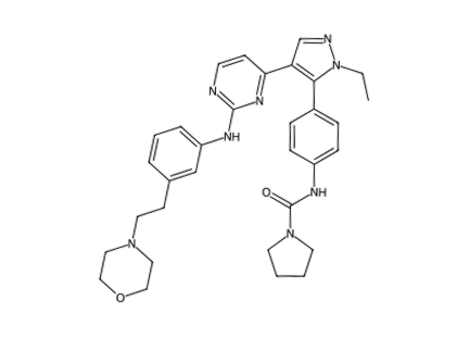 CCn1ncc(-c2ccnc(Nc3cccc(CCN4CCOCC4)c3)n2)c1-c1ccc(NC(=O)N2CCCC2)cc1